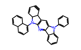 C1#CC2c3cc4c(nc3N(C3=CC=CC5C=CC=CC35)C2C=C1)c1ccccc1n4-c1ccccc1